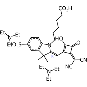 CC1(C)/C(=C/C2=C(O)C(=O)C2=C(C#N)C#N)N(CCCCCC(=O)O)c2ccc(S(=O)(=O)O)cc21.CCN(CC)CC.CCN(CC)CC